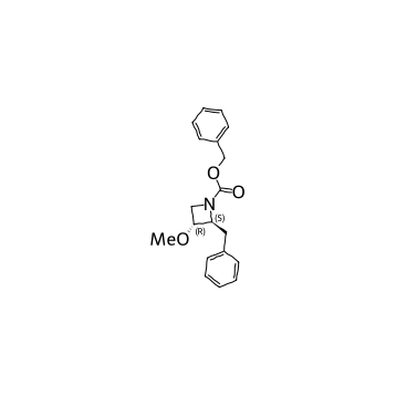 CO[C@@H]1CN(C(=O)OCc2ccccc2)[C@H]1Cc1ccccc1